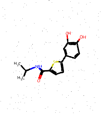 CC(C)NC(=O)c1ccc(-c2ccc(O)c(O)c2)s1